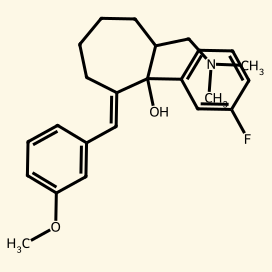 COc1cccc(/C=C2\CCCCC(CN(C)C)C2(O)c2cccc(F)c2)c1